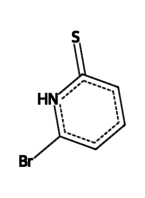 S=c1cccc(Br)[nH]1